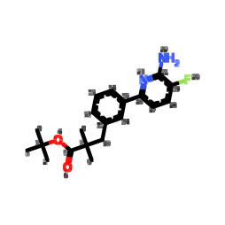 CC(C)(C)OC(=O)C(C)(C)Cc1cccc(-c2ccc(F)c(N)n2)c1